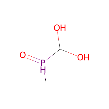 C[PH](=O)C(O)O